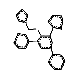 c1ccc(-c2cc(-c3ccccc3)c(OCn3cccc3)c(-c3ccccc3)c2)cc1